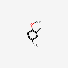 Bc1ccc(OCCC)c(C)c1